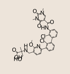 COc1nc(-c2cccc(-c3cccc(NC(=O)c4cn(C)c(=O)n(C)c4=O)c3Cl)c2Cl)ccc1CNC(C)(CO)C(=O)O